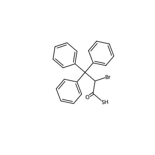 O=C(S)C(Br)C(c1ccccc1)(c1ccccc1)c1ccccc1